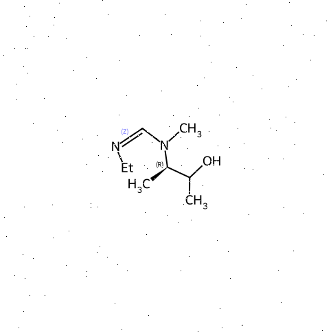 CC/N=C\N(C)[C@H](C)C(C)O